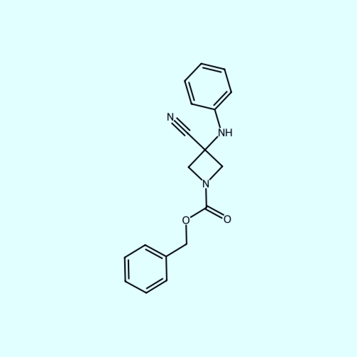 N#CC1(Nc2ccccc2)CN(C(=O)OCc2ccccc2)C1